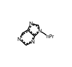 [CH2]CCn1cnc2cncnc21